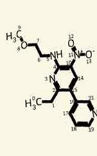 CCc1nc(NCCOC)c([N+](=O)[O-])cc1-c1cccnc1